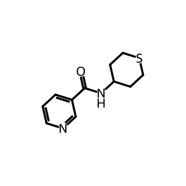 O=C(NC1CCSCC1)c1cccnc1